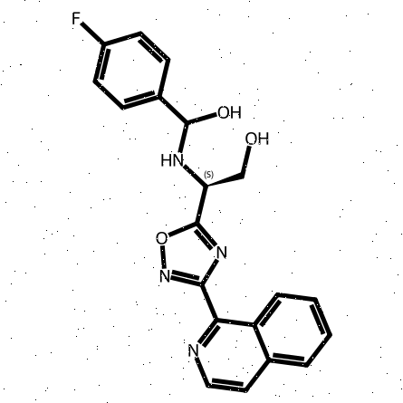 OC[C@H](NC(O)c1ccc(F)cc1)c1nc(-c2nccc3ccccc23)no1